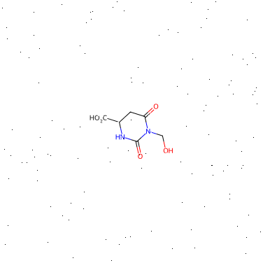 O=C(O)C1CC(=O)N(CO)C(=O)N1